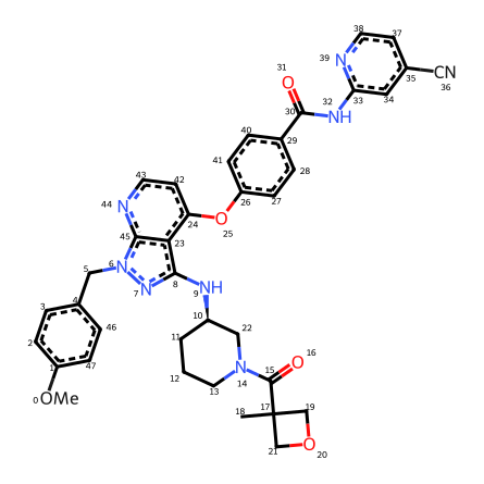 COc1ccc(Cn2nc(N[C@@H]3CCCN(C(=O)C4(C)COC4)C3)c3c(Oc4ccc(C(=O)Nc5cc(C#N)ccn5)cc4)ccnc32)cc1